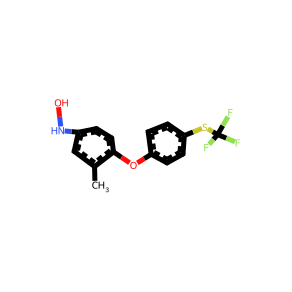 Cc1cc(NO)ccc1Oc1ccc(SC(F)(F)F)cc1